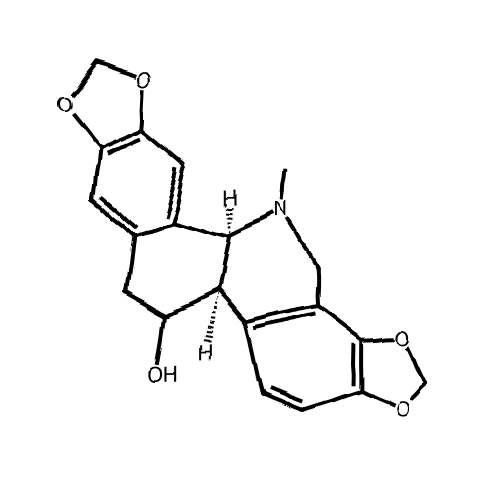 CN1Cc2c(ccc3c2OCO3)[C@H]2C(O)Cc3cc4c(cc3[C@H]21)OCO4